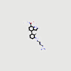 Cc1c(NC/C=C/CN(C)C)cccc1-c1ccc(C(N)=O)c2[nH]ccc12